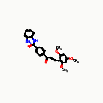 COc1cc(OC)c(/C=C/C(=O)c2ccc(C(=O)Nc3ccccc3N)cc2)c(OC)c1